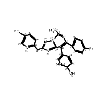 Nc1nc(-c2ccc(F)cc2)c(C2=CNC(O)C=C2)c2nc(Cc3ccc(F)cn3)nn12